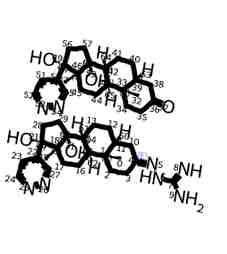 C[C@]12CC/C(=N\NC(=N)N)C[C@H]1CC[C@@H]1[C@@H]2CC[C@]2(C)[C@@](O)(c3ccnnc3)CC[C@]12O.C[C@]12CCC(=O)C[C@H]1CC[C@@H]1[C@@H]2CC[C@]2(C)[C@@](O)(c3ccnnc3)CC[C@]12O